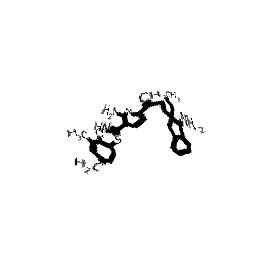 C=C1C=CC(SC(=N)c2ccc(C(=C)CCC3(CCC)Cc4ccccc4C3N)nc2N)=C(Cl)C(C)=C1